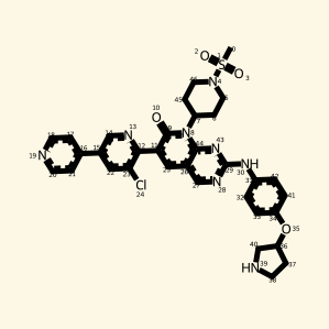 CS(=O)(=O)N1CCC(n2c(=O)c(-c3ncc(-c4ccncc4)cc3Cl)cc3cnc(Nc4ccc(OC5CCNC5)cc4)nc32)CC1